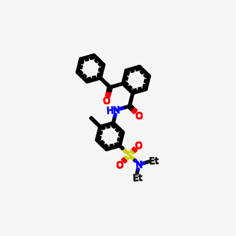 CCN(CC)S(=O)(=O)c1ccc(C)c(NC(=O)c2ccccc2C(=O)c2ccccc2)c1